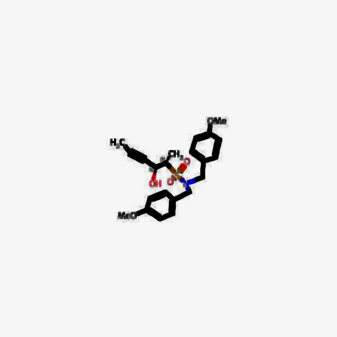 CC#C[C@H](O)[C@H](C)S(=O)(=O)N(Cc1ccc(OC)cc1)Cc1ccc(OC)cc1